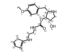 COc1ccc(C[C@H]2NC[C@H](O)[C@H]2OC(=O)NCCNc2nccs2)cc1